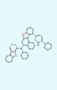 C1=C(c2ccccc2)NCC(c2cccc3oc4cc(N(C5=c6oc7ccccc7c6=CCC5)c5ccccc5)c5ccccc5c4c23)=C1